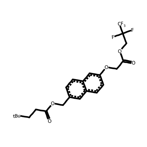 CC(C)(C)CCC(=O)OCc1ccc2cc(OCC(=O)OCC(F)(F)C(F)(F)F)ccc2c1